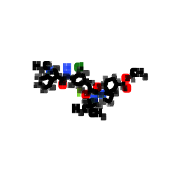 CCOC(=O)C1CCC(OC(C(=O)Cc2cc(Cl)c(NC(=O)c3cn(C)c4ccccc34)cc2F)(N2CCCC2)N2CC(C)(C)C2)CC1